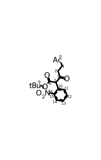 CC(=O)CCC(=O)C(C(=O)OC(C)(C)C)c1ccccc1[N+](=O)[O-]